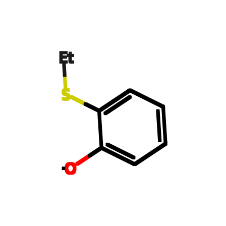 CCSc1ccccc1[O]